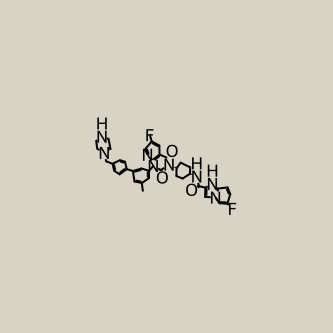 Cc1cc(-c2ccc(CN3CCNCC3)cc2)cc(-n2c(=O)n([C@H]3CC[C@@H](NC(=O)C4=CN5C=C(F)C=CC5N4)CC3)c(=O)c3cc(F)cnc32)c1